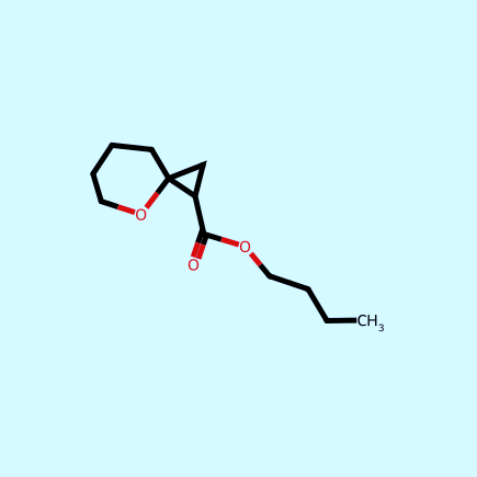 CCCCOC(=O)C1CC12CCCCO2